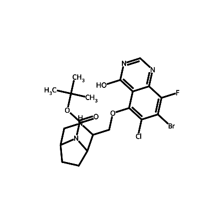 CC(C)(C)OC(=O)N1C2CCC1C(COc1c(Cl)c(Br)c(F)c3ncnc(O)c13)NC2